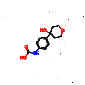 O=C(O)Nc1ccc(C2(O)CCOCC2)cc1